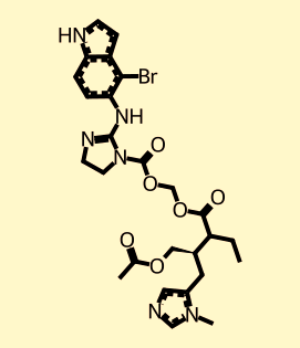 CCC(C(=O)OCOC(=O)N1CCN=C1Nc1ccc2[nH]ccc2c1Br)[C@H](COC(C)=O)Cc1cncn1C